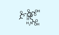 CC(C)CC(=O)SC[C@H](NC(=O)CC[C@H](N)C(=O)O)C(=O)NCC(=O)O